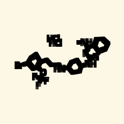 CNc1nc(NC2CCC(NCCCc3ccc(Br)cc3OC(F)(F)F)CC2)nc2ccccc12.Cl.Cl